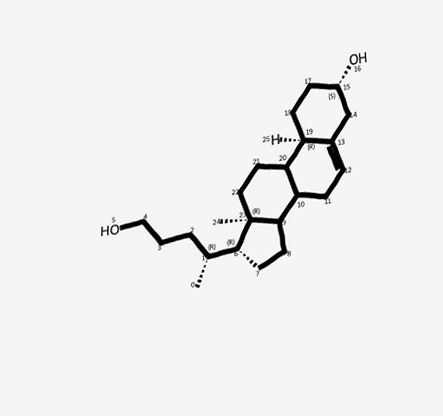 C[C@H](CCCO)[C@H]1CCC2C3CC=C4C[C@@H](O)CC[C@@H]4C3CC[C@@]21C